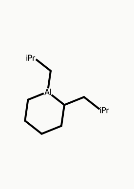 CC(C)C[CH]1CCC[CH2][Al]1[CH2]C(C)C